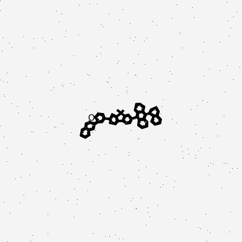 CC1(C)c2cc(-c3ccc4oc5cc6ccccc6cc5c4c3)ccc2-c2ccc(-c3c4ccccc4c(-c4cccc5ccccc45)c4ccccc34)cc21